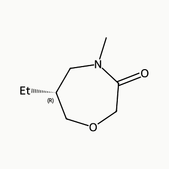 CC[C@H]1COCC(=O)N(C)C1